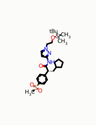 CC(C)(C)[Si](C)(C)OCCn1ccc(NC(=O)[C@H](CC2CCCC2)c2ccc(S(C)(=O)=O)cc2)n1